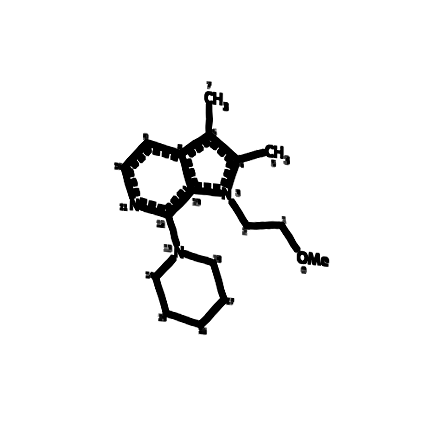 COCCn1c(C)c(C)c2ccnc(N3CCCCC3)c21